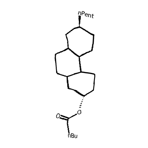 CCCCC[C@H]1CCC2C(CCC3C[C@@H](OC(=O)CCCC)CCC32)C1